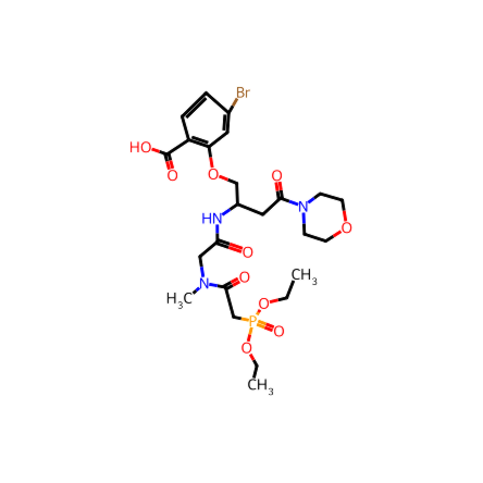 CCOP(=O)(CC(=O)N(C)CC(=O)NC(COc1cc(Br)ccc1C(=O)O)CC(=O)N1CCOCC1)OCC